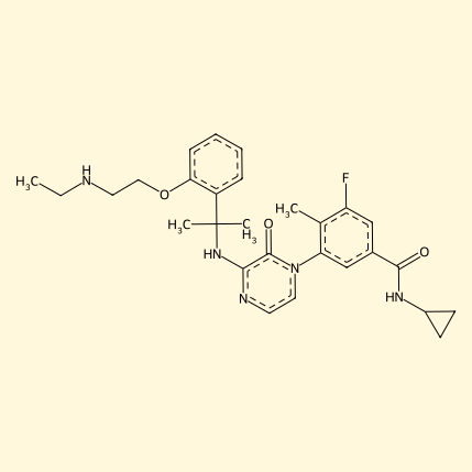 CCNCCOc1ccccc1C(C)(C)Nc1nccn(-c2cc(C(=O)NC3CC3)cc(F)c2C)c1=O